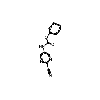 N#Cc1ncc(NC(=O)Oc2ccccc2)cn1